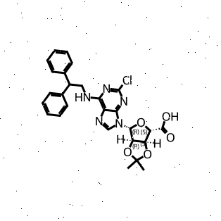 CC1(C)O[C@@H]2[C@H](O1)[C@@H](C(=O)O)O[C@H]2n1cnc2c(NCC(c3ccccc3)c3ccccc3)nc(Cl)nc21